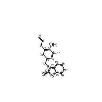 C=CCC1=C(O)C(C)=CC(Cn2c(=S)sc3ccccc32)C1